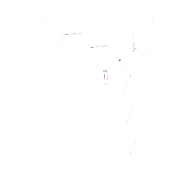 CCCCCCCC(CCCC(CCCCCCC(=O)OCC)(C(=O)OC(C)(C)C)C(=O)OC(C)(C)C)OC(C)=O